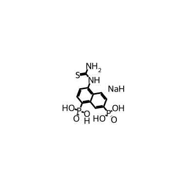 NC(=S)Nc1ccc(P(=O)(O)O)c2cc(P(=O)(O)O)ccc12.[NaH]